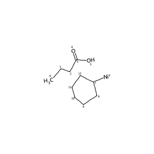 CCCC(=O)O.[Ni][CH]1CCCCC1